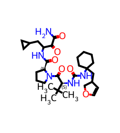 CC(C)(C)[C@H](NC(=O)NC1(CC2C=COC2)CCCCC1)C(=O)N1CCC[C@H]1C(=O)NC(CC1CC1)C(=O)C(N)=O